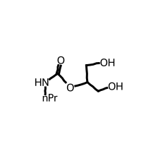 CCCNC(=O)OC(CO)CO